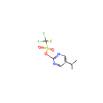 CC(C)c1cnc(OS(=O)(=O)C(F)(F)F)nc1